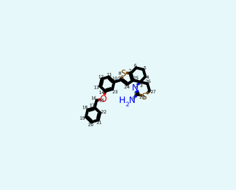 NC1=NC2(CCCc3sc(-c4cccc(OCc5ccccc5)c4)cc32)CCS1